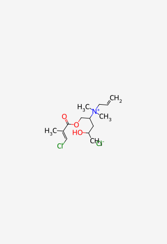 C=CC[N+](C)(C)C(COC(=O)C(C)=CCl)CC(C)O.[Cl-]